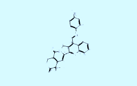 CC[C@@]1(O)C(=O)OCc2c1cc1n(c2=O)Cc2c-1nc1ccccc1c2C=Nc1ccc([N+](=O)[O-])cc1